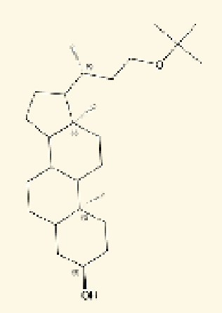 C[C@H](CCOC(C)(C)C)C1CCC2C3CCC4C[C@H](O)CC[C@]4(C)C3CC[C@@]21C